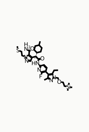 CCc1c(-c2ccc(NC(=O)[C@H](c3cnn(CCSC)c3C(N)=O)C3CCC(C)CC3)nc2F)c(C)nn1COCC[Si](C)(C)C